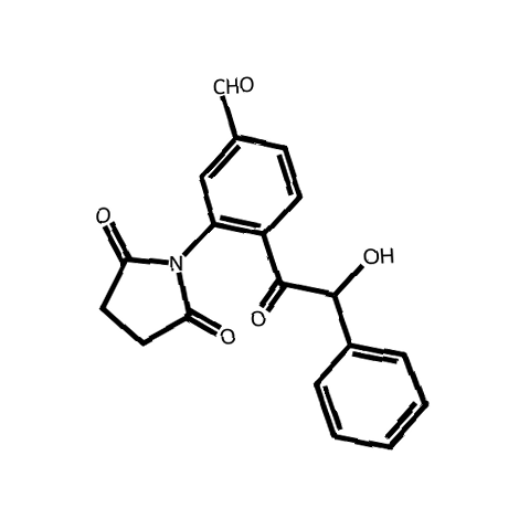 O=Cc1ccc(C(=O)C(O)c2ccccc2)c(N2C(=O)CCC2=O)c1